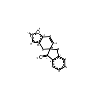 O=C1c2ccccc2CC12C=Cc1oncc1C2